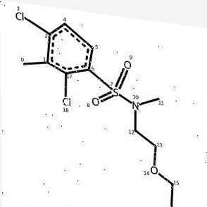 Cc1c(Cl)ccc(S(=O)(=O)N(C)CCOCC(=O)O)c1Cl